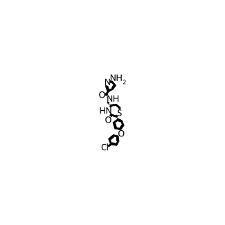 Nc1ccc(C(=O)NC[C@@H]2CCS[C@H](c3ccc(Oc4ccc(Cl)cc4)cc3)C(=O)N2)cn1